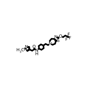 Cn1cc(CC(=O)NC2CCC(CCN3CCc4nc(OCCC(F)(F)F)sc4CC3)CC2)cn1